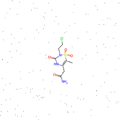 CC1=C(CC(N)=O)NC(=O)N(CCCl)S1(=O)=O